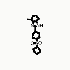 Cc1cccc2[nH]c(-c3ccc(S(=O)(=O)c4ccccc4)cc3)nc12